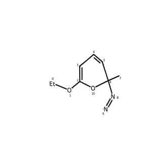 CCOC1=CC=CC(C)(N=[N])O1